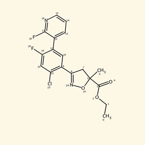 CCOC(=O)C1(C)CC(c2cc(-c3cccnc3F)c(F)cc2Cl)=NO1